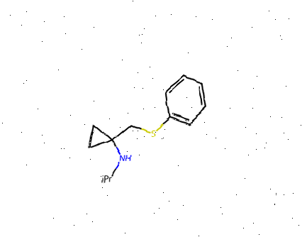 CC(C)NC1(CSc2ccccc2)CC1